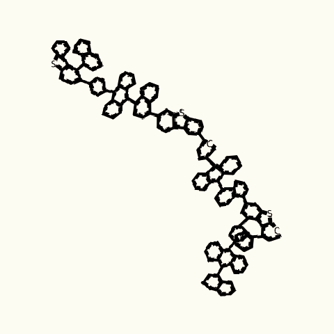 c1ccc(-c2cccc3sc4cc(-c5cccc6c(-c7c8ccccc8c(-c8ccc(-c9ccc%10sc%11cc(-c%12ccc(-c%13c%14ccccc%14c(-c%14ccc(-c%15ccc%16sc%17ccccc%17c%16c%15-c%15cccc%16ccccc%15%16)cc%14)c%14ccccc%13%14)c%13ccccc%12%13)ccc%11c%10c9)cc8)c8ccccc78)cccc56)cc(-c5ccc(-c6c7ccccc7c(-c7cccc8ccccc78)c7ccccc67)cc5)c4c23)cc1